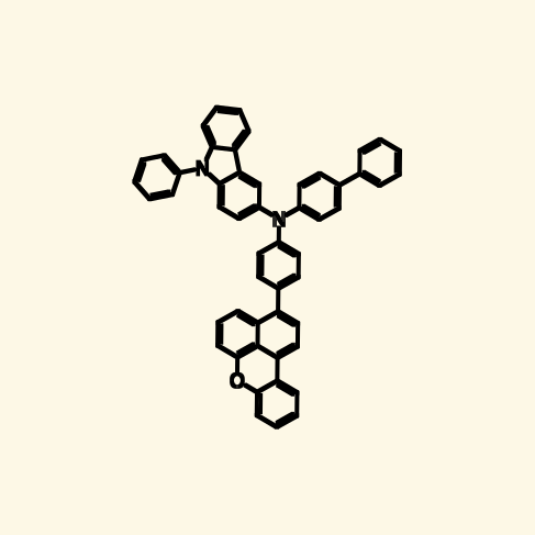 c1ccc(-c2ccc(N(c3ccc(-c4ccc5c6c(cccc46)Oc4ccccc4-5)cc3)c3ccc4c(c3)c3ccccc3n4-c3ccccc3)cc2)cc1